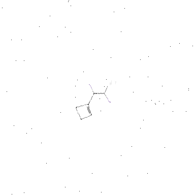 CCCC(I)C(I)C1=CCC1